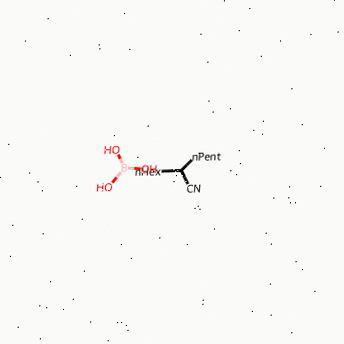 CCCCCCC(C#N)CCCCC.OB(O)O